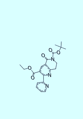 CCOC(=O)c1cc2c(nc1-c1ccccn1)CCN(C(=O)OC(C)(C)C)C2=O